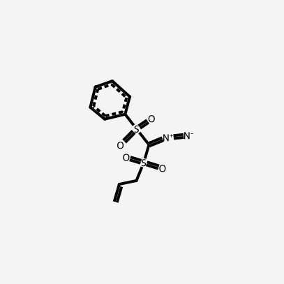 C=CCS(=O)(=O)C(=[N+]=[N-])S(=O)(=O)c1ccccc1